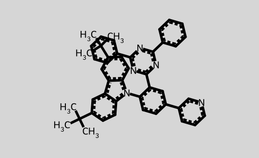 CC(C)(C)c1ccc2c(c1)c1cc(C(C)(C)C)ccc1n2-c1ccc(-c2cccnc2)cc1-c1nc(-c2ccccc2)nc(-c2ccccc2)n1